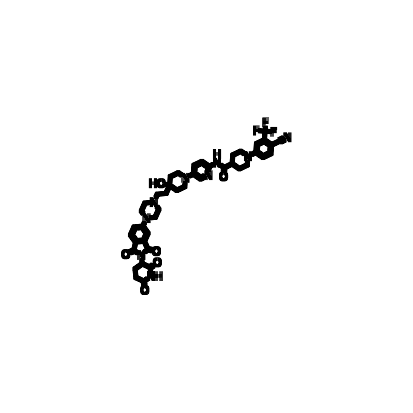 N#Cc1ccc(N2CCC(C(=O)Nc3ccc(N4CCC(O)(CCN5CCN(c6ccc7c(c6)C(=O)N(C6CCC(=O)NC6=O)C7=O)CC5)CC4)cn3)CC2)cc1C(F)(F)F